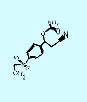 CCS(=O)(=O)c1ccc(C(CC#N)OC(N)=O)cc1